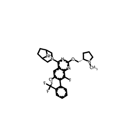 CN1CCC[C@H]1COc1nc(N2CC3CCC(C2)N3)c2cc(Cl)c(-c3ccccc3C(F)(F)F)c(F)c2n1